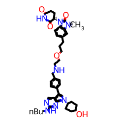 CCCCNc1ncc2c(-c3ccc(CNCCOCCCc4ccc5c(c4)n(C)c(=O)n5[C@H]4CCC(=O)NC4=O)cc3)cn([C@H]3CC[C@H](O)CC3)c2n1